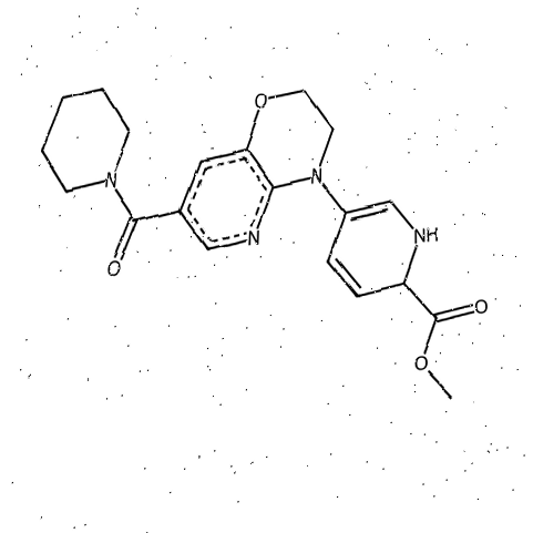 COC(=O)C1C=CC(N2CCOc3cc(C(=O)N4CCCCC4)cnc32)=CN1